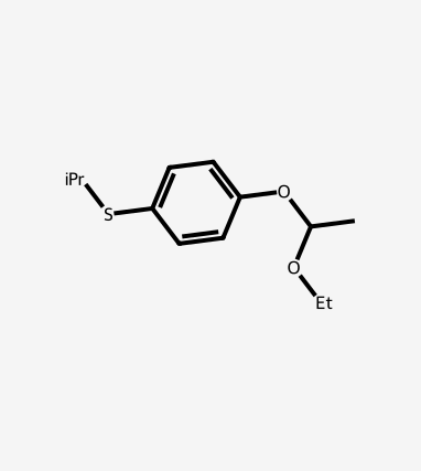 CCOC(C)Oc1ccc(SC(C)C)cc1